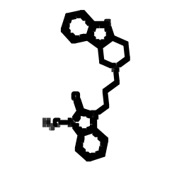 Cn1c(=O)n(CCCN2CCc3sc4ccccc4c3C2)c2ccccc21